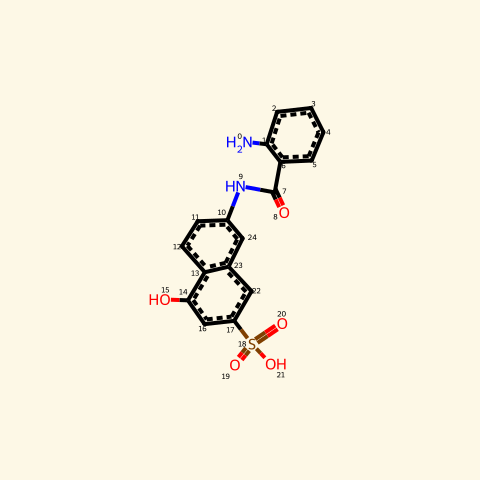 Nc1ccccc1C(=O)Nc1ccc2c(O)cc(S(=O)(=O)O)cc2c1